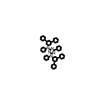 c1ccc(-c2cc(-c3ccccc3)cc(N(c3ccccc3)c3nc(-c4ccccc4)nc(N(c4ccccc4)c4cc(-c5ccccc5)cc(-c5ccccc5)c4)n3)c2)cc1